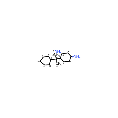 N.NC1CCC(C(C2CCCCC2)(C(F)(F)F)C(F)(F)F)CC1